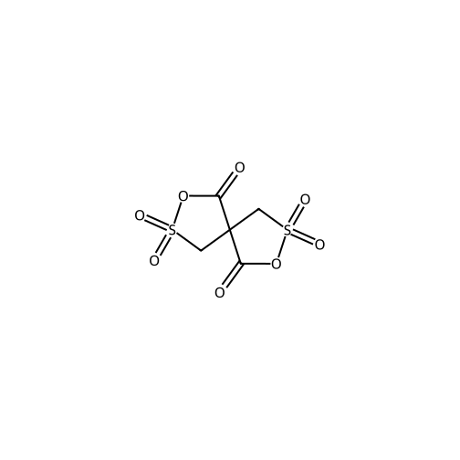 O=C1OS(=O)(=O)CC12CS(=O)(=O)OC2=O